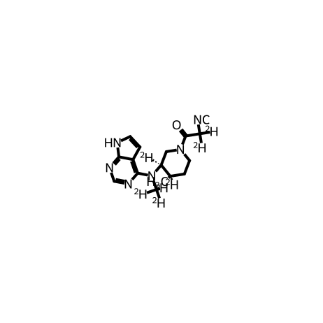 [2H]C([2H])([N+]#[C-])C(=O)N1CC[C@@]([2H])(C)[C@@]([2H])(N(c2ncnc3[nH]ccc23)C([2H])([2H])[2H])C1